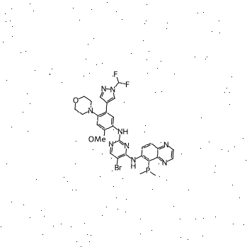 COc1cc(N2CCOCC2)c(-c2cnn(C(F)F)c2)cc1Nc1ncc(Br)c(Nc2ccc3nccnc3c2P(C)C)n1